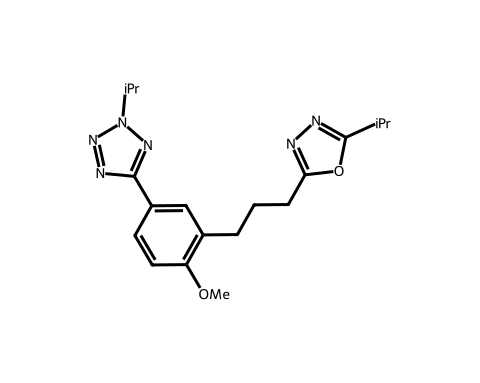 COc1ccc(-c2nnn(C(C)C)n2)cc1CCCc1nnc(C(C)C)o1